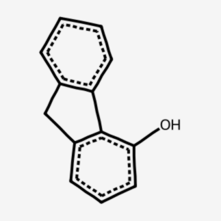 Oc1cccc2c1-c1ccccc1C2